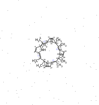 C/C1=C2\C=CC(C)(N2)/C(C)=C2/C=CC(C)(N2)/C(C)=C2/C=CC(C)(N2)/C(C)=C2/C=CC1(C)N2